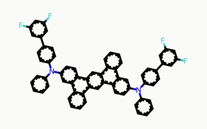 Fc1cc(F)cc(-c2ccc(N(c3ccccc3)c3ccc4c(c3)c3ccccc3c3cc5c6ccc(N(c7ccccc7)c7ccc(-c8cc(F)cc(F)c8)cc7)cc6c6ccccc6c5cc43)cc2)c1